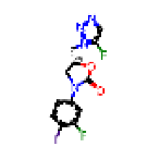 O=C1O[C@@H](Cn2nncc2F)CN1c1ccc(I)c(F)c1